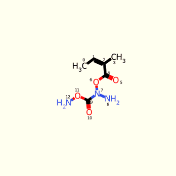 CC=C(C)C(=O)ON(N)C(=O)ON